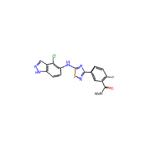 CNC(=O)c1cc(-c2nsc(Nc3ccc4[nH]ncc4c3Cl)n2)ccc1F